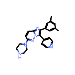 Cc1cc(C)cc(-c2nc3ccc(N4CCNCC4)nn3c2-c2ccncc2)c1